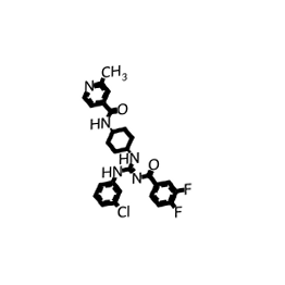 Cc1cc(C(=O)N[C@H]2CC[C@H](N/C(=N\C(=O)c3ccc(F)c(F)c3)Nc3cccc(Cl)c3)CC2)ccn1